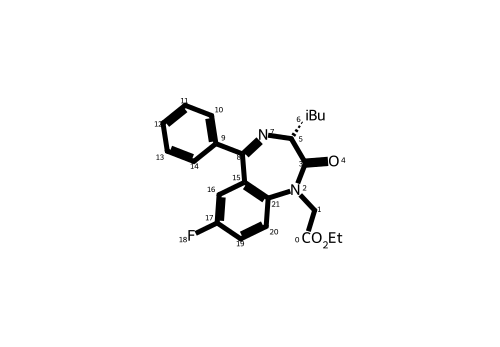 CCOC(=O)CN1C(=O)C([C@@H](C)CC)N=C(c2ccccc2)c2cc(F)ccc21